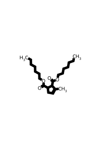 CCCCCCCOC(=O)C1CC=C(C)C1C(=O)OCCCCCCC